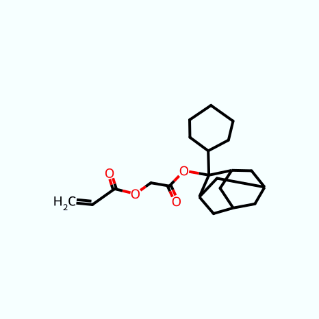 C=CC(=O)OCC(=O)OC1(C2CCCCC2)C2CC3CC(C2)CC1C3